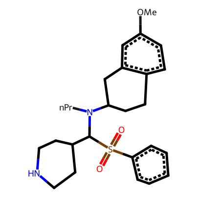 CCCN(C1CCc2ccc(OC)cc2C1)C(C1CCNCC1)S(=O)(=O)c1ccccc1